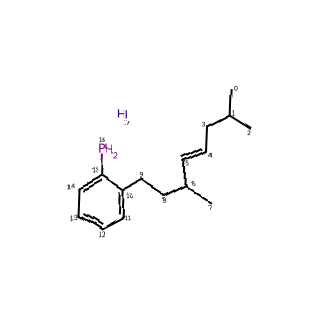 CC(C)CC=CC(C)CCc1ccccc1P.I